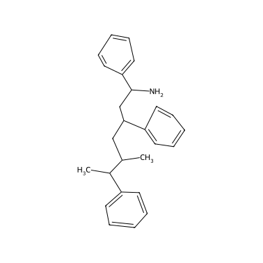 CC(CC(CC(N)c1ccccc1)c1ccccc1)C(C)c1ccccc1